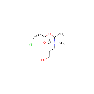 C=CC(=O)OC(C)[N+](C)(C)CCCO.[Cl-]